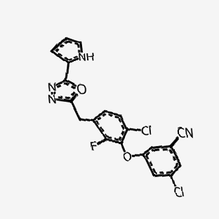 N#Cc1cc(Cl)cc(Oc2c(Cl)ccc(Cc3nnc(-c4ccc[nH]4)o3)c2F)c1